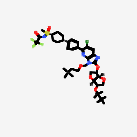 CC(C)(C)[Si](C)(C)O[C@@H]1CO[C@H]2[C@@H]1OC[C@H]2Oc1nc2cc(Cl)c(-c3ccc([C@H]4CC[C@@H](S(C)(=O)=NC(=O)C(F)(F)F)CC4)cc3)nc2n1COCC[Si](C)(C)C